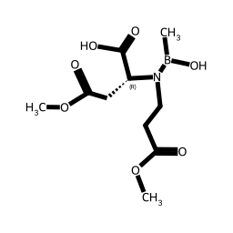 COC(=O)CCN(B(C)O)[C@H](CC(=O)OC)C(=O)O